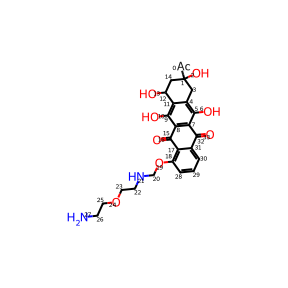 CC(=O)C1(O)Cc2c(O)c3c(c(O)c2C(O)C1)C(=O)c1c(OCNCCOCCN)cccc1C3=O